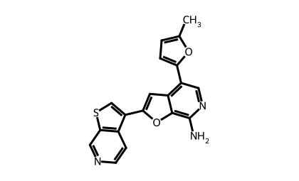 Cc1ccc(-c2cnc(N)c3oc(-c4csc5cnccc45)cc23)o1